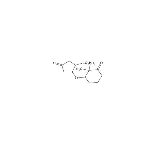 CC1(C)C(=O)CCCC1OC1CC(=O)CC1C(=O)O